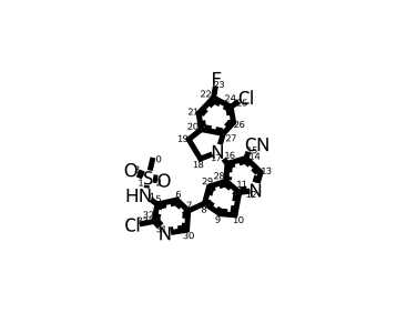 CS(=O)(=O)Nc1cc(-c2ccc3ncc(C#N)c(N4CCc5cc(F)c(Cl)cc54)c3c2)cnc1Cl